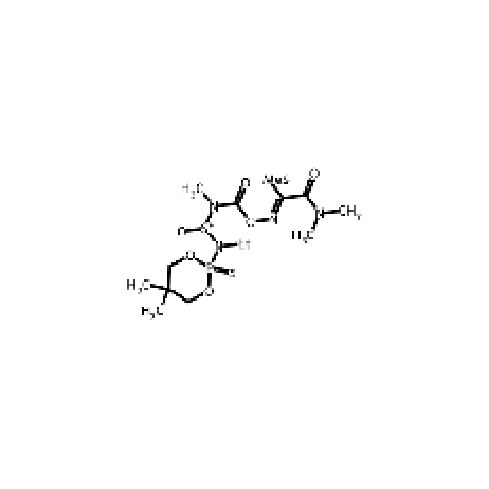 CCN([S+]([O-])N(C)C(=O)O/N=C(\SC)C(=O)N(C)C)P1(=S)OCC(C)(C)CO1